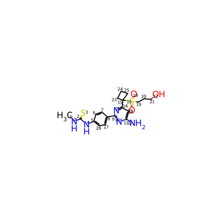 CNC(=S)Nc1ccc(-c2nc(N)cc(C3(S(=O)(=O)CCCO)CCC3)n2)cc1